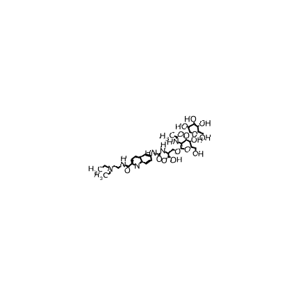 CCN(CC)CCNC(=O)c1ccc2cc(NC(=O)NC(CO[C@H]3OC(CO)[C@H](O)C(O[C@@H]4OC(CO)[C@H](O)C(O)C4O)C3NC(C)=O)C(=O)O)ccc2n1